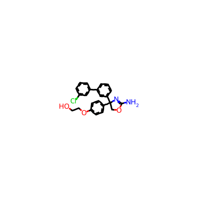 NC1=NC(c2ccc(OCCO)cc2)(c2cccc(-c3cccc(Cl)c3)c2)CO1